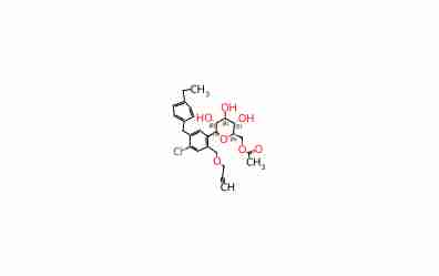 C#CCOCc1cc(Cl)c(Cc2ccc(CC)cc2)cc1[C@@H]1O[C@H](COC(C)=O)[C@@H](O)[C@H](O)[C@H]1O